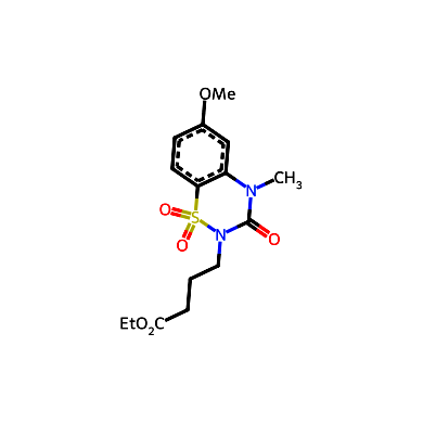 CCOC(=O)CCCN1C(=O)N(C)c2cc(OC)ccc2S1(=O)=O